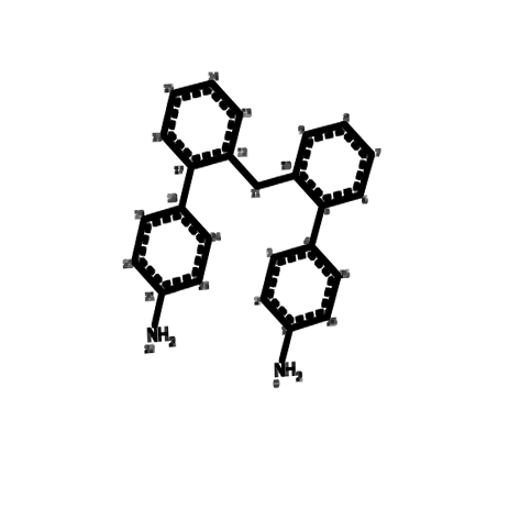 Nc1ccc(-c2ccccc2Cc2ccccc2-c2ccc(N)cc2)cc1